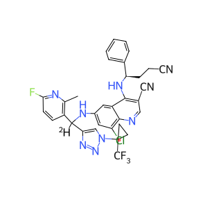 [2H]C(Nc1cc(Cl)c2ncc(C#N)c(N[C@H](CCC#N)c3ccccc3)c2c1)(c1cn(C2(C(F)(F)F)CC2)nn1)c1ccc(F)nc1C